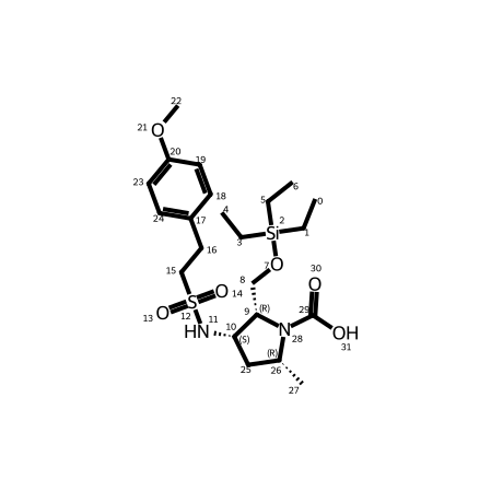 CC[Si](CC)(CC)OC[C@H]1[C@@H](NS(=O)(=O)CCc2ccc(OC)cc2)C[C@@H](C)N1C(=O)O